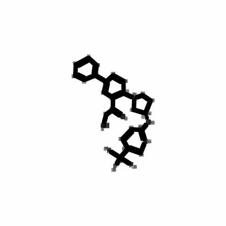 O=C(CO)c1cc(-c2ccccc2)ccc1N1CC[C@H](Oc2ccc(C(F)(F)F)cn2)C1